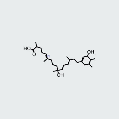 C/C(=C\CCC(C)C(=O)O)CCCC(C)(O)CCCC(C)CCC1=CC(O)C(C)C(C)C1